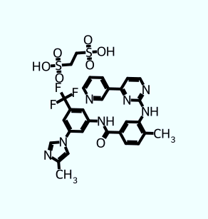 Cc1cn(-c2cc(NC(=O)c3ccc(C)c(Nc4nccc(-c5cccnc5)n4)c3)cc(C(F)(F)F)c2)cn1.O=S(=O)(O)CCS(=O)(=O)O